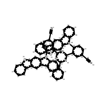 N#Cc1ccc(-n2c3ccccc3c3cc4c(cc32)oc2ccccc24)c(-c2nc(-c3ccccc3)nc(-c3cc(C#N)ccc3-n3c4ccccc4c4cc5c(cc43)oc3ccccc35)n2)c1